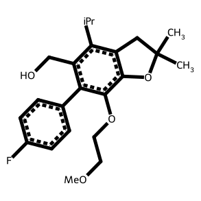 COCCOc1c2c(c(C(C)C)c(CO)c1-c1ccc(F)cc1)CC(C)(C)O2